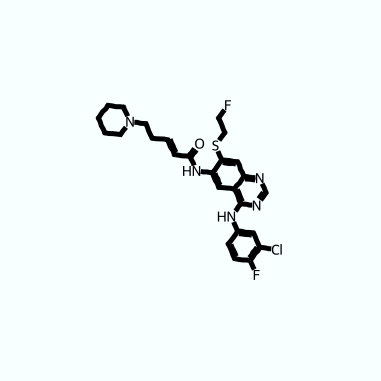 O=C(C=CCCN1CCCCC1)Nc1cc2c(Nc3ccc(F)c(Cl)c3)ncnc2cc1SCCF